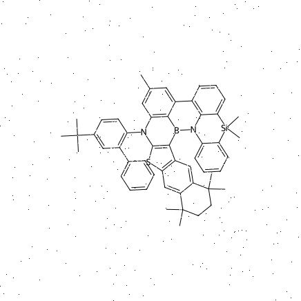 Cc1cc2c3c(c1)N(c1ccc(C(C)(C)C)cc1-c1ccccc1)c1sc4cc5c(cc4c1B3N1c3ccccc3[Si](C)(C)c3cccc-2c31)C(C)(C)CCC5(C)C